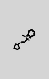 Cn1c(/C=N/C2CCCC2)nc2ccccc21